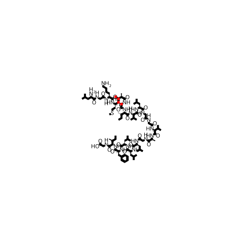 CC[C@H](C)[C@H](NC(=O)[C@H](Cc1ccccc1)NC(=O)[C@H](CC(C)C)NC(=O)[C@H](CC(C)C)NC(=O)[C@H](CC(C)C)NC(=O)CNC(=O)[C@H](C)NC(=O)[C@@H](NC(=O)CNC(=O)CNC(=O)[C@H](CC(C)C)NC(=O)[C@@H](NC(=O)[C@@H](NC(=O)[C@H](CC(C)C)NC(=O)[C@H](C)NC(=O)[C@H](CCSC)NC(=O)[C@H](CCCCN)NC(=O)CNC(=O)[C@@H](N)CC(C)C)[C@@H](C)CC)C(C)C)C(C)C)C(=O)NCC(=O)O